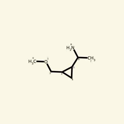 COCC1CC1C(C)N